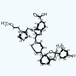 COCCn1cnnc1Cn1c(CN2CCC(c3cccc4c3OC(C)(c3ccc(Cl)cc3F)O4)CC2)nc2ccc(C(=O)O)cc21